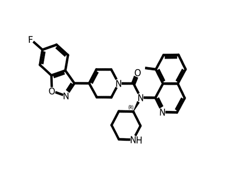 Cc1cccc2ccnc(N(C(=O)N3CC=C(c4noc5cc(F)ccc45)CC3)[C@@H]3CCCNC3)c12